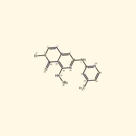 CCn1ccc2cc(Nc3cc(C)ccn3)nc(NC(C)(C)C)c2c1=O